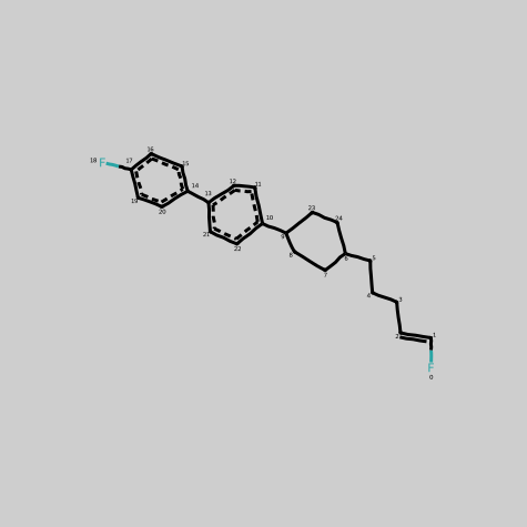 FC=CCCCC1CCC(c2ccc(-c3ccc(F)cc3)cc2)CC1